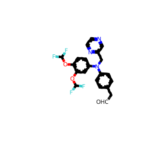 O=CCc1ccc(N(Cc2cnccn2)c2ccc(OC(F)F)c(OC(F)F)c2)cc1